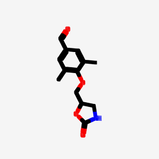 Cc1cc(C=O)cc(C)c1OCC1CNC(=O)O1